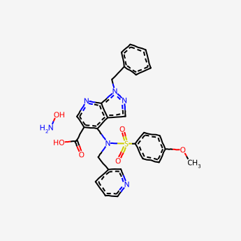 COc1ccc(S(=O)(=O)N(Cc2cccnc2)c2c(C(=O)O)cnc3c2cnn3Cc2ccccc2)cc1.NO